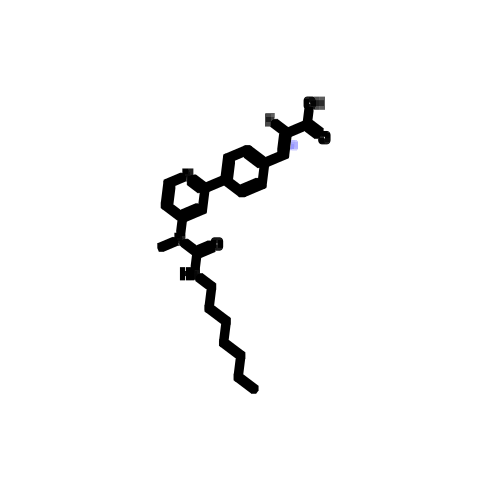 CCCCCCCNC(=O)N(C)c1ccnc(-c2ccc(/C=C(\F)C(=O)O)cc2)c1